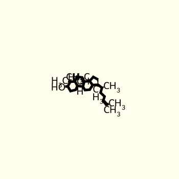 CC(C)=CCC[C@H](C)[C@@H]1CC[C@]2(C)C3=CC[C@H]4C(C)(C)C(O)CC[C@]4(C)[C@H]3CC[C@@]12C